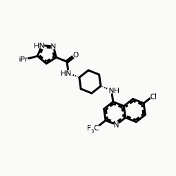 CC(C)c1cc(C(=O)N[C@H]2CC[C@@H](Nc3cc(C(F)(F)F)nc4ccc(Cl)cc34)CC2)n[nH]1